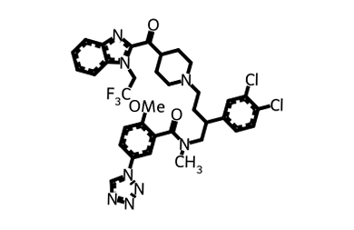 COc1ccc(-n2cnnn2)cc1C(=O)N(C)CC(CCN1CCC(C(=O)c2nc3ccccc3n2CC(F)(F)F)CC1)c1ccc(Cl)c(Cl)c1